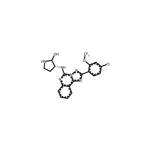 OC1NCC[C@H]1Nc1nc2ccccc2c2nc(-c3ccc(Cl)cc3OC(F)(F)F)nn12